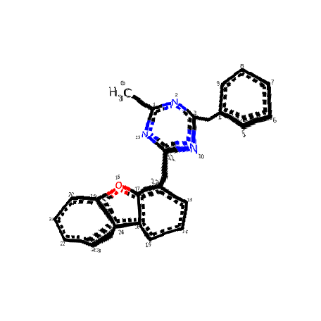 Cc1nc(-c2ccccc2)nc(-c2cccc3c2oc2ccccc23)n1